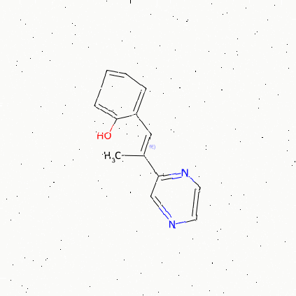 C/C(=C\c1ccccc1O)c1cnccn1